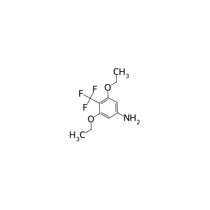 CCOc1cc(N)cc(OCC)c1C(F)(F)F